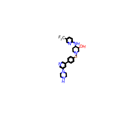 OC1CN(Sc2ccc(-c3cncc(N4CCNCC4)c3)cc2)CCC1Nc1ccc(C(F)(F)F)cn1